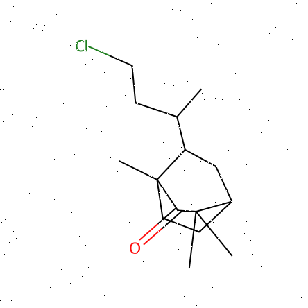 CC(CCCl)C1CC2CCC1(C)C(=O)C2(C)C